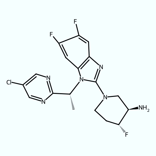 C[C@H](c1ncc(Cl)cn1)n1c(N2CC[C@@H](F)[C@H](N)C2)nc2cc(F)c(F)cc21